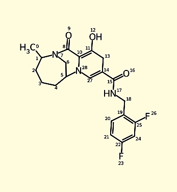 CC1CCCC2CN1C(=O)C1=C(O)CC(C(=O)NCc3ccc(F)cc3F)=CN12